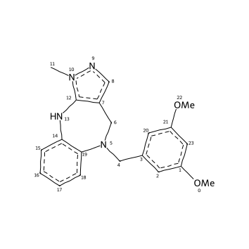 COc1cc(CN2Cc3cnn(C)c3Nc3ccccc32)cc(OC)c1